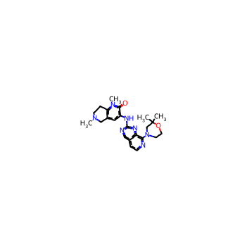 CN1CCc2c(cc(Nc3ncc4ccnc(N5CCOC(C)(C)C5)c4n3)c(=O)n2C)C1